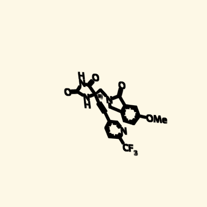 COc1ccc2c(c1)C(=O)N(C[C@@]1(C#Cc3ccc(C(F)(F)F)nc3)NC(=O)NC1=O)C2